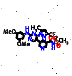 COc1cc(Nc2ncc(-c3cncc(C(=O)NS(C)(=O)=O)c3)c(N3NC(C(F)(F)F)C=C3C)n2)cc(OC)c1